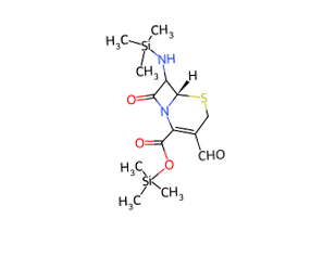 C[Si](C)(C)NC1C(=O)N2C(C(=O)O[Si](C)(C)C)=C(C=O)CS[C@@H]12